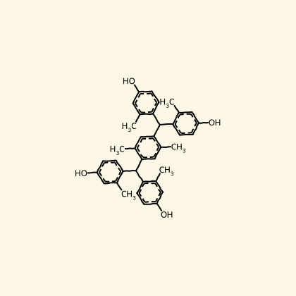 Cc1cc(O)ccc1C(c1ccc(O)cc1C)c1cc(C)c(C(c2ccc(O)cc2C)c2ccc(O)cc2C)cc1C